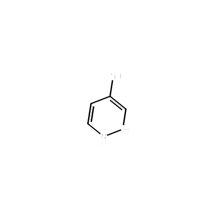 NC1=C[IH]NC=C1